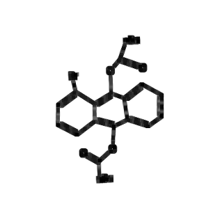 CCCCC(=O)Oc1c2ccccc2c(OC(=O)CCCC)c2c(Br)cccc12